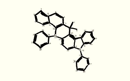 CC1(C)c2ccc3ccccc3c2N(c2ccccc2)c2ccc3c(c21)c1ccccc1n3-c1ccccc1